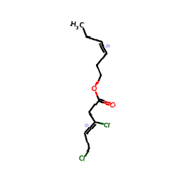 CC/C=C\CCOC(=O)C/C(Cl)=C/CCl